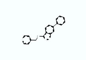 c1ccc(-c2ccc3c(NCc4ccncc4)noc3c2)cc1